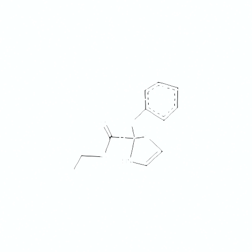 CCOC(=O)C1(Oc2ccccc2)NC=CS1